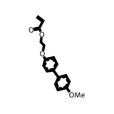 C=CC(=O)OCCOc1ccc(-c2ccc(OC)cc2)cc1